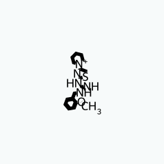 COc1ccccc1CNC(=N)NC1=NC(=[N+]2CCCCC2)CS1